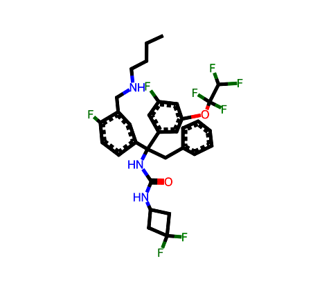 CCCCNCc1cc(C(Cc2ccccc2)(NC(=O)NC2CC(F)(F)C2)c2cc(F)cc(OC(F)(F)C(F)F)c2)ccc1F